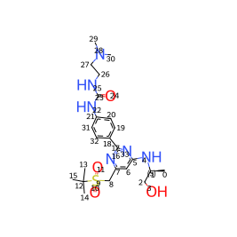 C[C@@H](CO)Nc1cc(CS(=O)(=O)C(C)(C)C)nc(-c2ccc(NC(=O)NCCN(C)C)cc2)n1